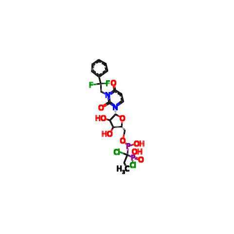 CCC(Cl)(P(O)OC[C@H]1O[C@@H](n2ccc(=O)n(CC(F)(F)c3ccccc3)c2=O)C(O)C1O)P(=O)(O)Cl